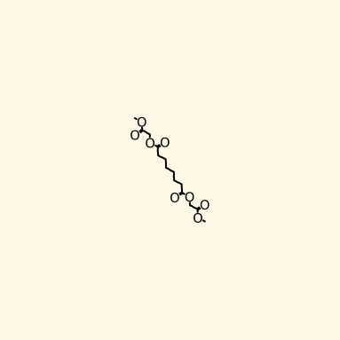 COC(=O)COC(=O)CCCCCCC(=O)OCC(=O)OC